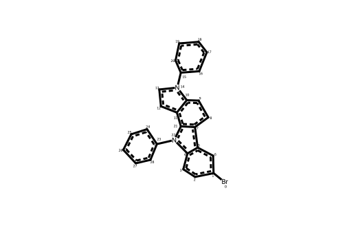 Brc1ccc2c(c1)c1ccc3c(ccn3-c3ccccc3)c1n2-c1ccccc1